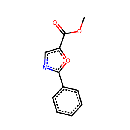 COC(=O)c1cnc(-c2ccccc2)o1